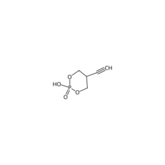 C#CC1COP(=O)(O)OC1